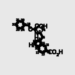 O=C(N[C@H](CO)Cc1c[nH]c2ccc(C(=O)O)cc12)OCc1ccccc1